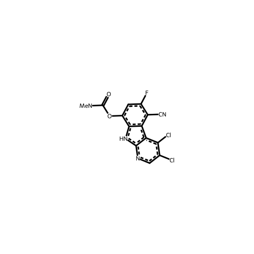 CNC(=O)Oc1cc(F)c(C#N)c2c1[nH]c1ncc(Cl)c(Cl)c12